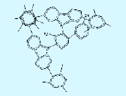 Cc1cc(C)c(-c2ccc3c4ccc(-c5c(C)cc(C)cc5C)cc4n(-c4ccc(-c5cccc(C#N)c5)c(-n5c6cc(-c7c(C)cc(C)cc7C)ccc6c6ccc(-c7c(C)cc(C)cc7C)cc65)c4C(F)(F)F)c3c2)c(C)c1